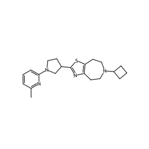 Cc1cccc(N2CCC(c3nc4c(s3)CCN(C3CCC3)CC4)C2)n1